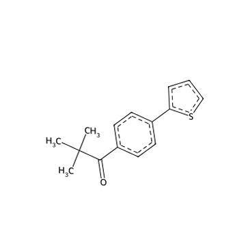 CC(C)(C)C(=O)c1ccc(-c2cccs2)cc1